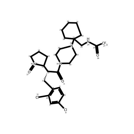 O=C([C@H](Cc1ccc(Cl)cc1Cl)C1CCC[N+]1=O)N1CCN(C2(CNC(=O)C(F)(F)F)CCCCC2)CC1